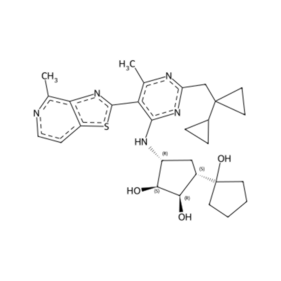 Cc1nc(CC2(C3CC3)CC2)nc(N[C@@H]2C[C@H](C3(O)CCCC3)[C@@H](O)[C@H]2O)c1-c1nc2c(C)nccc2s1